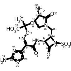 CC(C)(ON=C(C(=O)N[C@@H]1C(=O)N(S(=O)(=O)O)[C@@H]1CN1CC[C@@H](N)C1=O)c1csc(N)n1)C(=O)O